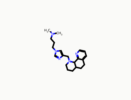 CN(C)CCCn1cnc(CN2CCCC3CCc4cccnc4C32)c1